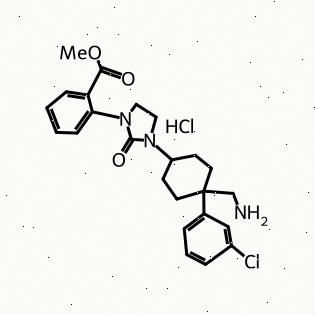 COC(=O)c1ccccc1N1CCN(C2CCC(CN)(c3cccc(Cl)c3)CC2)C1=O.Cl